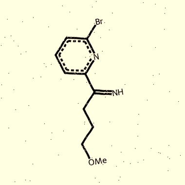 COCCCC(=N)c1cccc(Br)n1